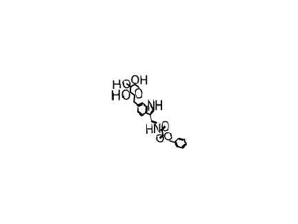 O=C(NCCc1c[nH]c2cc(CC3OCC(O)C(O)C3O)ccc12)C(=O)OCc1ccccc1